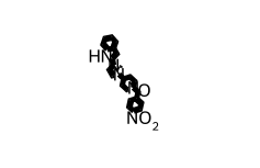 O=C(c1ccc([N+](=O)[O-])cc1)N1CCC(N2C=CN(c3cc4ccccc4[nH]3)C2)CC1